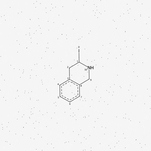 IC1Cc2ccccc2CN1